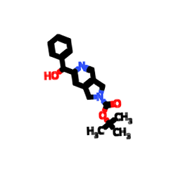 CC(C)(C)OC(=O)N1Cc2cnc(C(O)c3ccccc3)cc2C1